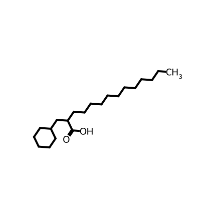 CCCCCCCCCCCCC(CC1CCCCC1)C(=O)O